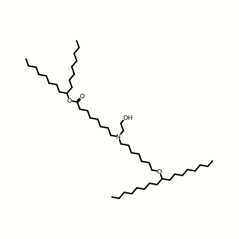 CCCCCCCCC(CCCCCCCC)OCCCCCCCN(CCO)CCCCCCCC(=O)OC(CCCCCCCC)CCCCCCCC